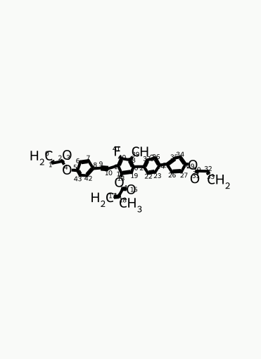 C=CC(=O)Oc1ccc(C#Cc2c(OC(=O)C(=C)C)cc(-c3ccc(-c4ccc(OC(=O)C=C)cc4)cc3)c(C)c2F)cc1